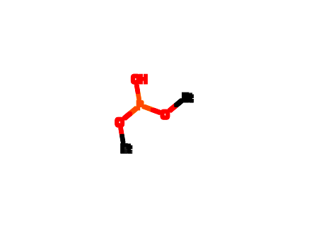 [CH2]COP(O)OCC